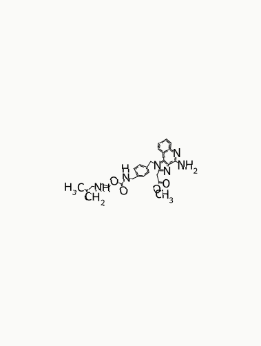 C=C(C)CNCCOC(=O)NCc1ccc(Cn2c(CC(=O)OC)nc3c(N)nc4ccccc4c32)cc1